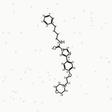 O=C(NCCCCc1ccccc1)n1cnc(-c2ccc(OCCN3CCOCC3)cc2)c1